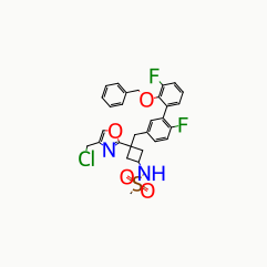 CS(=O)(=O)NC1CC(Cc2ccc(F)c(-c3cccc(F)c3OCc3ccccc3)c2)(c2nc(CCl)co2)C1